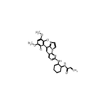 C=CC(=O)NC1CCCCC1Nc1ncc2cc(-c3c(Cl)c(OC)cc(OC)c3Cl)c3nccn3c2n1